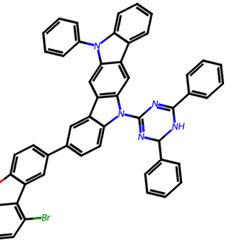 Brc1cccc2oc3ccc(-c4ccc5c(c4)c4cc6c(cc4n5C4=NC(c5ccccc5)NC(c5ccccc5)=N4)c4ccccc4n6-c4ccccc4)cc3c12